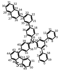 c1ccc(-c2cc(-c3ccccc3)cc(N(c3ccc(-c4cccc(-c5ccc6ccccc6c5)c4)cc3)c3ccc(-c4cccc5sc6ccccc6c45)cc3)c2)cc1